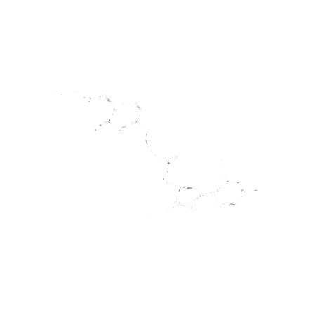 CCN/C=C1/C=CC(COC(=O)Nc2cc(-c3ccc(Cl)cc3OC)nn2C)=CC1=N